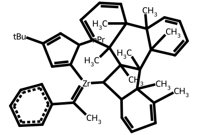 CCCC1C=C(C(C)(C)C)C=[C]1[Zr](=[C](C)c1ccccc1)[CH]1C2C=CC=C(C)C2(C)C2(C)C3(C)C=CC=CC3(C)C3(C)C=CC=CC3(C)C12C